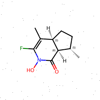 CC1=C(F)N(O)C(=O)[C@H]2[C@@H]1CC[C@@H]2C